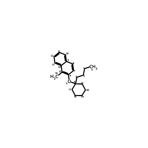 CCCCC1(Oc2ccc3ccccc3c2C)CCCCC1